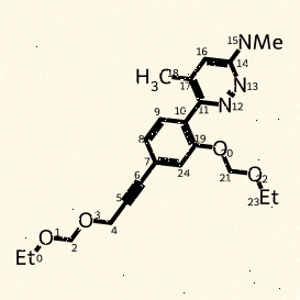 CCOCOCC#Cc1ccc(-c2nnc(NC)cc2C)c(OCOCC)c1